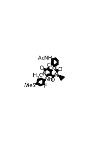 CSc1ccc(Nc2c3c(=O)n(C4CC4)c(=O)n(-c4cccc(NC(C)=O)c4)c3c(C)c(=O)n2C)c(F)c1